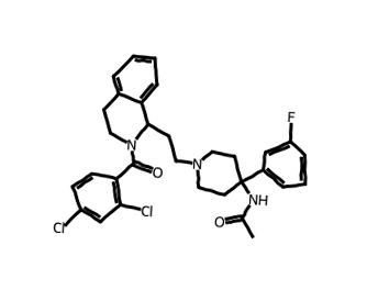 CC(=O)NC1(c2cccc(F)c2)CCN(CCC2c3ccccc3CCN2C(=O)c2ccc(Cl)cc2Cl)CC1